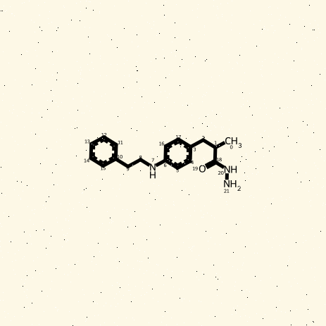 CC(Cc1ccc(NCCc2ccccc2)cc1)C(=O)NN